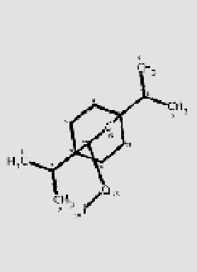 CC(C)C12CCC(C(C)C)(CC1)C(OI)C2